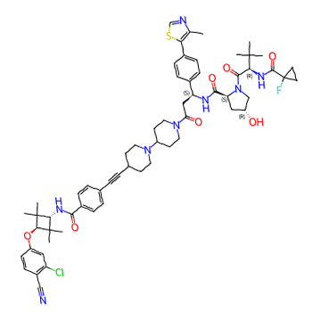 Cc1ncsc1-c1ccc([C@H](CC(=O)N2CCC(N3CCC(C#Cc4ccc(C(=O)N[C@H]5C(C)(C)[C@H](Oc6ccc(C#N)c(Cl)c6)C5(C)C)cc4)CC3)CC2)NC(=O)[C@@H]2C[C@@H](O)CN2C(=O)[C@H](NC(=O)C2(F)CC2)C(C)(C)C)cc1